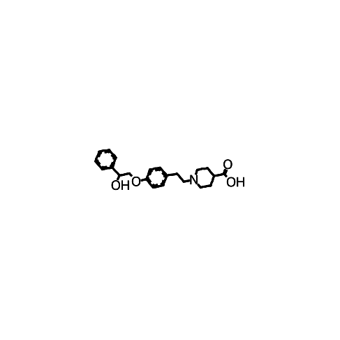 O=C(O)C1CCN(CCc2ccc(OCC(O)c3ccccc3)cc2)CC1